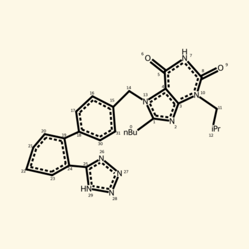 CCCCc1nc2c(c(=O)[nH]c(=O)n2CC(C)C)n1Cc1ccc(-c2ccccc2-c2nnn[nH]2)cc1